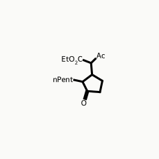 CCCCCC1C(=O)CCC1C(C(C)=O)C(=O)OCC